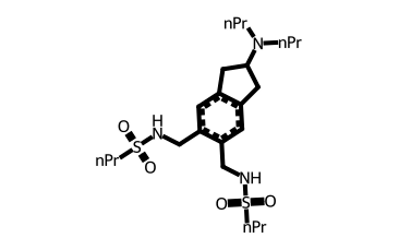 CCCN(CCC)C1Cc2cc(CNS(=O)(=O)CCC)c(CNS(=O)(=O)CCC)cc2C1